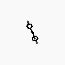 CCc1ccc(C#CC23CCC(CC)(CC2)CC3)cc1